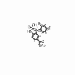 CNC(=O)c1ccc(NS(C)(=O)=O)c(Nc2ccc(F)cc2F)c1